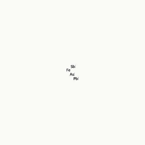 [As].[Fe].[Pb].[Sb]